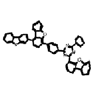 c1ccc(-c2nc(-c3ccc(-c4ccc(-c5ccc6c(c5)sc5ccccc56)c5c4oc4ccccc45)cc3)nc(-c3cccc4c3oc3ccccc34)n2)cc1